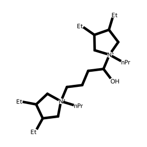 CCC[N+]1(CCCC(O)[N+]2(CCC)CC(CC)C(CC)C2)CC(CC)C(CC)C1